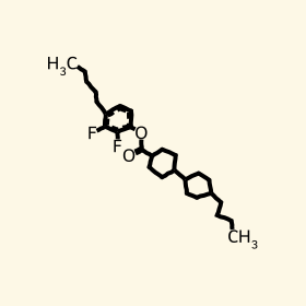 CCCCCc1ccc(OC(=O)C2CCC(C3CCC(CCCC)CC3)CC2)c(F)c1F